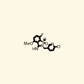 COc1ccc(F)c2c1C(=N)N(Cc1ccc(Cl)nc1)S2(=O)=O